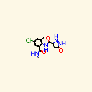 CNC(=O)c1cc(Cl)cc(C)c1NC(=O)C1CC(=O)NN1